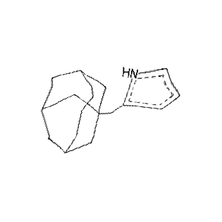 c1c[nH]c(C23CC4CC(CC(C4)C2)C3)c1